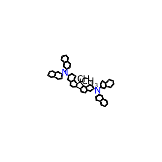 CC1(C)c2c(ccc3cc(N(c4ccc5ccccc5c4)c4ccc5ccccc5c4)ccc23)-c2ccc3cc(N(c4ccc5ccccc5c4)c4ccc5ccccc5c4)ccc3c21